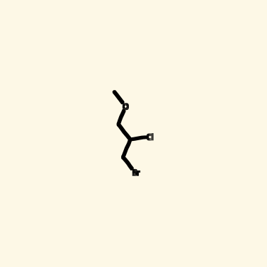 COCC(Cl)CBr